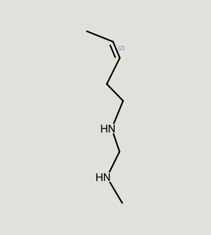 C/C=C\CCNCNC